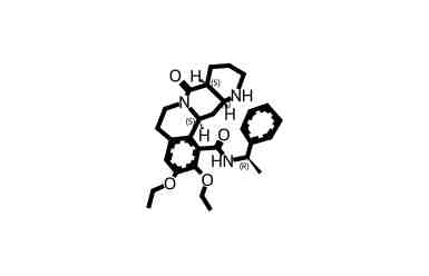 CCOc1cc2c(c(C(=O)N[C@H](C)c3ccccc3)c1OCC)[C@@H]1C[C@@H]3NCCC[C@@H]3C(=O)N1CC2